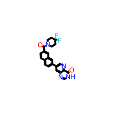 O=C(c1ccc2ccc(-c3cnc4c(=O)[nH]cnc4c3)cc2c1)N1CCC(F)(F)CC1